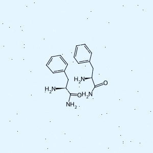 NC(=O)[C@@H](N)Cc1ccccc1.NC(=O)[C@@H](N)Cc1ccccc1